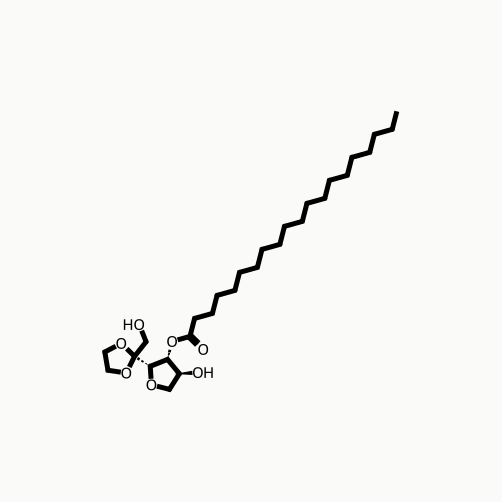 CCCCCCCCCCCCCCCCCCCC(=O)O[C@@H]1[C@@H](O)CO[C@@H]1C1(CO)OCCO1